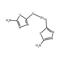 Nc1nnc([S][Zn][S]c2nnc(N)s2)s1